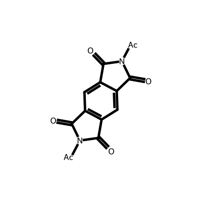 CC(=O)n1c(=O)c2cc3c(=O)n(C(C)=O)c(=O)c3cc2c1=O